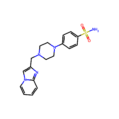 NS(=O)(=O)c1ccc(N2CCN(Cc3cn4ccccc4n3)CC2)cc1